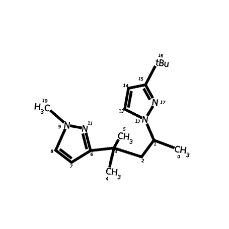 CC(CC(C)(C)c1ccn(C)n1)n1ccc(C(C)(C)C)n1